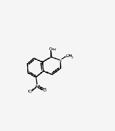 CN1C=Cc2c(cccc2[N+](=O)[O-])C1O